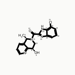 C[C@@H]1c2cccnc2[C@H](O)CN1C(=O)c1nc2cccc(Cl)c2[nH]1